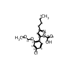 CCCCc1[c]c(-c2ccc(Cl)cc2OCOC)n(C(=O)O)n1